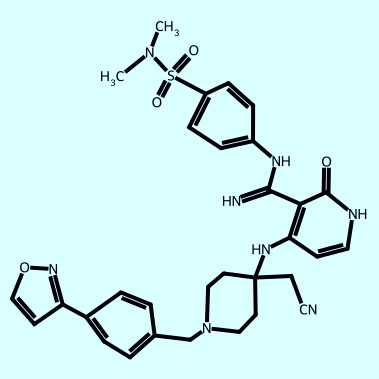 CN(C)S(=O)(=O)c1ccc(NC(=N)c2c(NC3(CC#N)CCN(Cc4ccc(-c5ccon5)cc4)CC3)cc[nH]c2=O)cc1